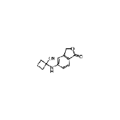 N#CC1(Nc2ccc3c(c2)COC3=O)CCC1